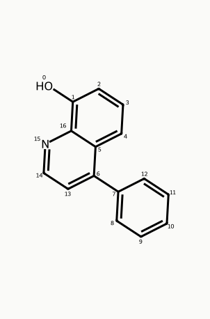 Oc1cccc2c(-c3ccccc3)ccnc12